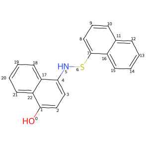 Oc1ccc(NSc2cccc3ccccc23)c2ccccc12